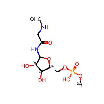 [2H]OP(=O)(O)OC[C@H]1OC(NC(=O)CNC=O)[C@H](O)[C@@H]1O